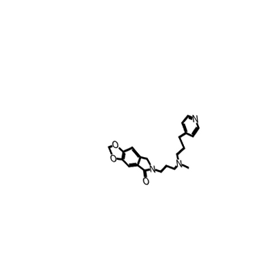 CN(CCCc1ccncc1)CCCN1Cc2cc3c(cc2C1=O)OCO3